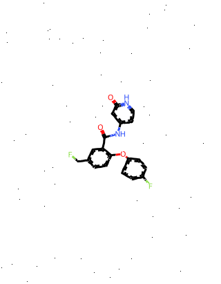 O=C(Nc1cc[nH]c(=O)c1)c1cc(CF)ccc1Oc1ccc(F)cc1